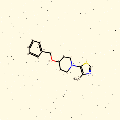 O=C(O)c1ncsc1N1CCC(OCc2ccccc2)CC1